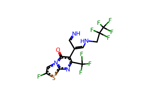 N=C/C(=C\NCC(F)(F)C(F)(F)F)c1c(C(F)(F)F)nc2sc(F)cn2c1=O